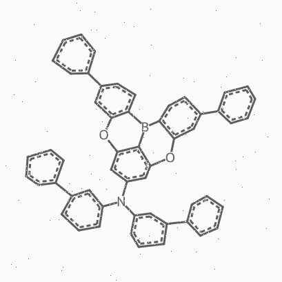 c1ccc(-c2cccc(N(c3cccc(-c4ccccc4)c3)c3cc4c5c(c3)Oc3cc(-c6ccccc6)ccc3B5c3ccc(-c5ccccc5)cc3O4)c2)cc1